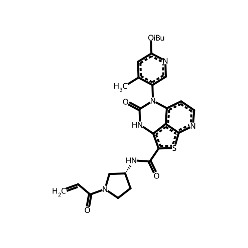 C=CC(=O)N1CC[C@@H](NC(=O)c2sc3nccc4c3c2NC(=O)N4c2cnc(OCC(C)C)cc2C)C1